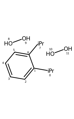 CC(C)c1ccccc1C(C)C.OO.OO